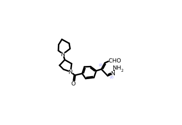 N/N=C\C(=C/C=O)c1ccc(C(=O)N2CCC(N3CCCCC3)C2)cc1